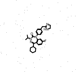 CC(C)N1N=C(C2CCCCC2)c2ccc(F)cc2N(c2ccc(CC3=NCCN3)cc2)C1=O